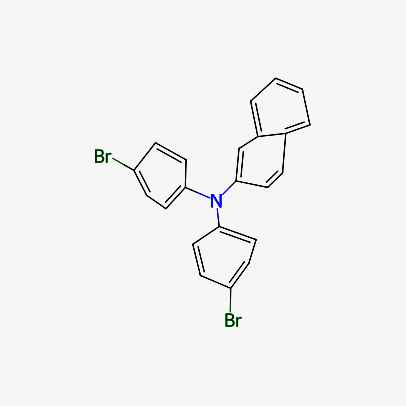 Brc1ccc(N(c2ccc(Br)cc2)c2ccc3ccccc3c2)cc1